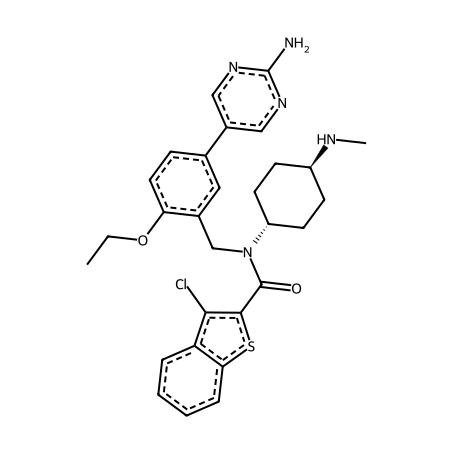 CCOc1ccc(-c2cnc(N)nc2)cc1CN(C(=O)c1sc2ccccc2c1Cl)[C@H]1CC[C@H](NC)CC1